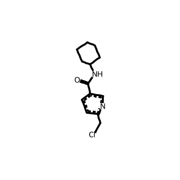 O=C(NC1CCCCC1)c1ccc(CCl)nc1